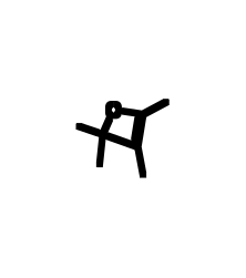 CC1=C(C)C(C)(C)O1